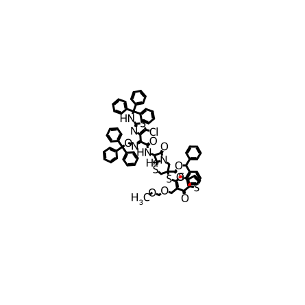 COCOCc1c(SC2(C(=O)OC(c3ccccc3)c3ccccc3)CS[C@@H]3C(NC(=O)C(=NOC(c4ccccc4)(c4ccccc4)c4ccccc4)c4nc(NC(c5ccccc5)(c5ccccc5)c5ccccc5)sc4Cl)C(=O)N3C2)sc2ccsc2c1=O